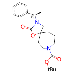 C[C@H](c1ccccc1)N1CC2(CCCN(C(=O)OC(C)(C)C)CC2)OC1=O